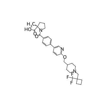 C[C@@]1(C(=O)O)CCCN1C(=O)c1ccc(-c2ccc(OCC3CCN(CC4(C(F)(F)F)CCC4)CC3)nc2)cc1